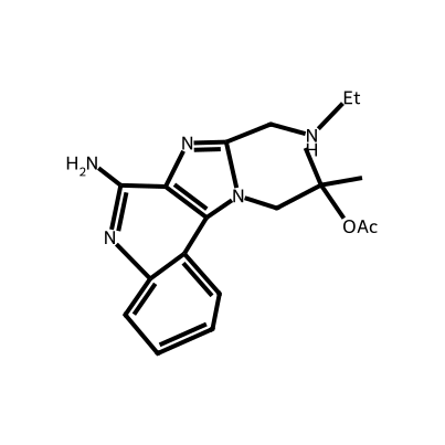 CCNCc1nc2c(N)nc3ccccc3c2n1CC(C)(C)OC(C)=O